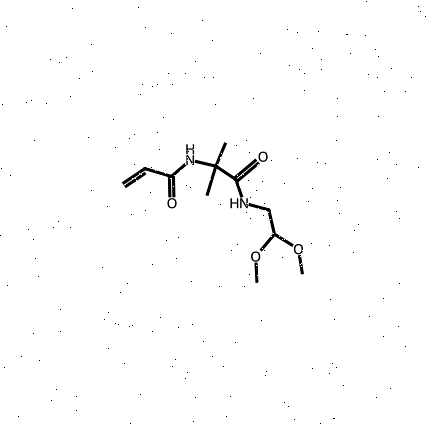 C=CC(=O)NC(C)(C)C(=O)NCC(OC)OC